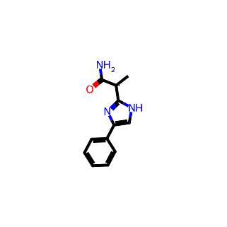 C[C](C(N)=O)c1nc(-c2ccccc2)c[nH]1